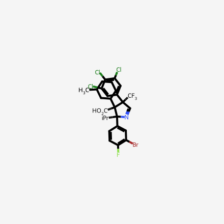 CC1CCCC(C2(C(=O)O)C(c3ccc(F)c(Br)c3)(C(C)C)N=CC2(c2cc(Cl)c(Cl)c(Cl)c2)C(F)(F)F)C1